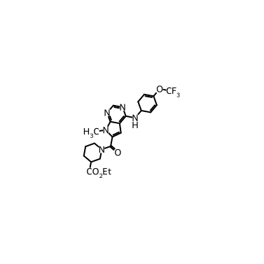 CCOC(=O)C1CCCN(C(=O)c2cc3c(NC4C=CC(OC(F)(F)F)=CC4)ncnc3n2C)C1